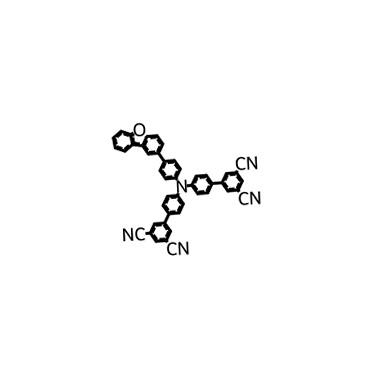 N#Cc1cc(C#N)cc(-c2ccc(N(c3ccc(-c4cc(C#N)cc(C#N)c4)cc3)c3ccc(-c4ccc5oc6ccccc6c5c4)cc3)cc2)c1